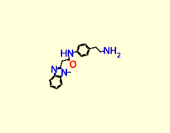 Cn1c(CC(=O)Nc2ccc(CCN)cc2)nc2ccccc21